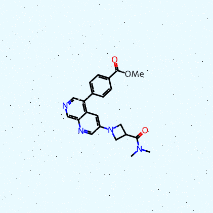 COC(=O)c1ccc(-c2cncc3ncc(N4CC(C(=O)N(C)C)C4)cc23)cc1